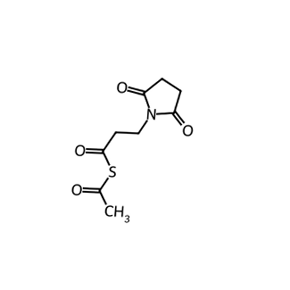 CC(=O)SC(=O)CCN1C(=O)CCC1=O